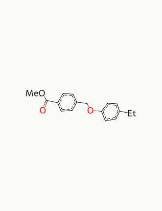 CCc1ccc(OCc2ccc(C(=O)OC)cc2)cc1